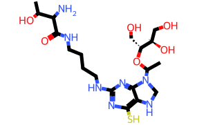 CC(O)C(N)C(=O)NCCCCNc1nc(S)c2c(n1)N(C(C)O[C@H](CO)[C@H](O)CO)CN2